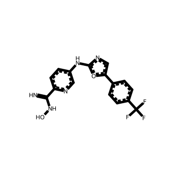 N=C(NO)c1ccc(Nc2ncc(-c3ccc(C(F)(F)F)cc3)o2)cn1